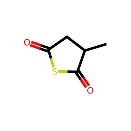 CC1CC(=O)SC1=O